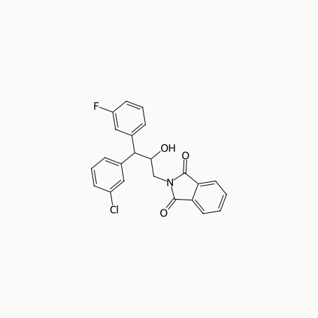 O=C1c2ccccc2C(=O)N1CC(O)C(c1cccc(F)c1)c1cccc(Cl)c1